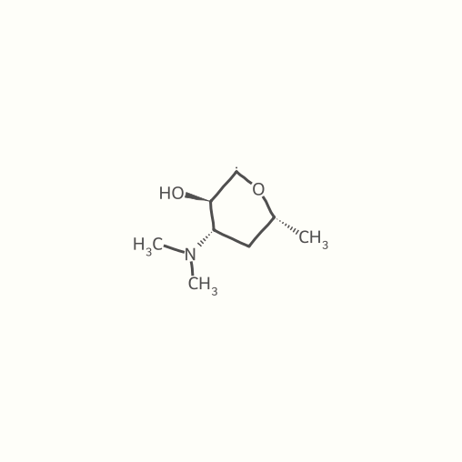 C[C@@H]1C[C@H](N(C)C)[C@@H](O)[CH]O1